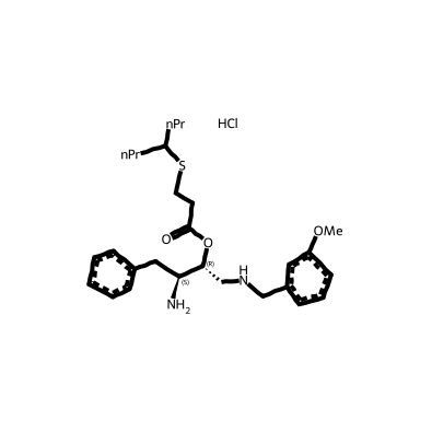 CCCC(CCC)SCCC(=O)O[C@H](CNCc1cccc(OC)c1)[C@@H](N)Cc1ccccc1.Cl